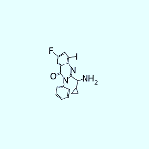 NC(c1nc2c(I)cc(F)cc2c(=O)n1-c1ccccc1)C1CC1